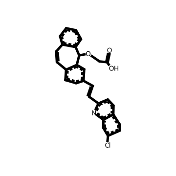 O=C(O)COC1c2ccccc2C=Cc2ccc(/C=C/c3ccc4ccc(Cl)cc4n3)cc21